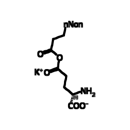 CCCCCCCCCCCC(=O)OC(=O)CC[C@H](N)C(=O)[O-].[K+]